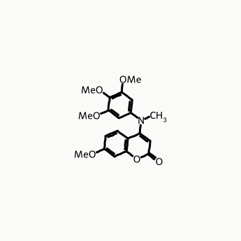 COc1ccc2c(N(C)c3cc(OC)c(OC)c(OC)c3)cc(=O)oc2c1